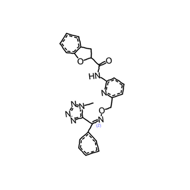 Cn1nnnc1/C(=N\OCc1cccc(NC(=O)C2Cc3ccccc3O2)n1)c1ccccc1